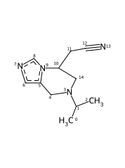 CC(C)N1Cc2cncn2C(CC#N)C1